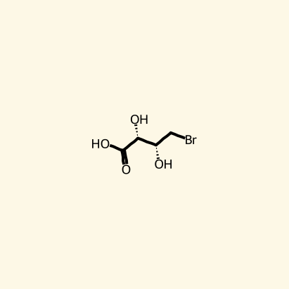 O=C(O)[C@H](O)[C@@H](O)CBr